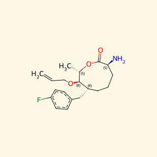 C=CCO[C@@H]1[C@@H](Cc2ccc(F)cc2)CCC[C@H](N)C(=O)O[C@H]1C